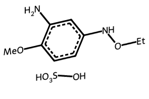 CCONc1ccc(OC)c(N)c1.O=S(=O)(O)O